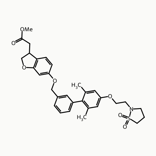 COC(=O)CC1COc2cc(OCc3cccc(-c4c(C)cc(OCCN5CCCS5(=O)=O)cc4C)c3)ccc21